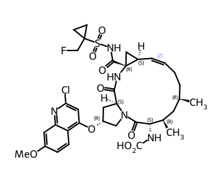 COc1ccc2c(O[C@@H]3C[C@H]4C(=O)N[C@]5(C(=O)NS(=O)(=O)C6(CF)CC6)C[C@H]5/C=C\CC[C@@H](C)C[C@@H](C)[C@H](NC(=O)O)C(=O)N4C3)cc(Cl)nc2c1